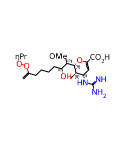 C=C(CCCC[C@@H](O)[C@@H](OC)[C@@H]1OC(C(=O)O)=C[C@H](NC(=N)N)[C@H]1C)OOCCC